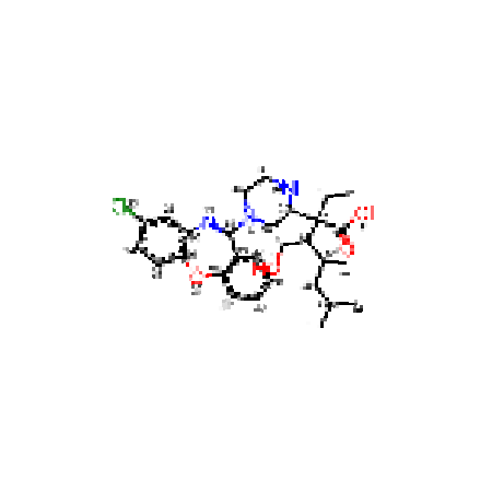 CC[C@@](C(=O)O)(C(CO)C(C)CC(C)C)[C@H]1CN(C2=Nc3cc(Cl)ccc3Oc3ccccc32)CCN1